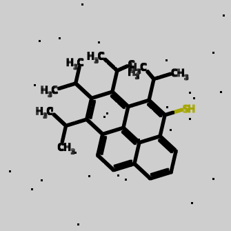 CC(C)c1c(C(C)C)c2ccc3cccc4c(S)c(C(C)C)c(c1C(C)C)c2c34